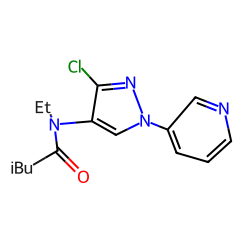 CCC(C)C(=O)N(CC)c1cn(-c2cccnc2)nc1Cl